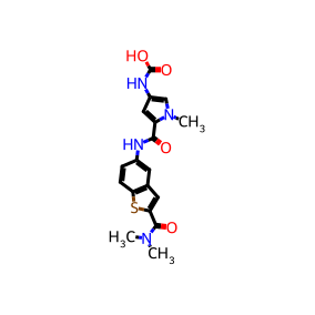 CN(C)C(=O)c1cc2cc(NC(=O)c3cc(NC(=O)O)cn3C)ccc2s1